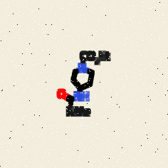 CCOC(=O)N1CCC(NC(=O)NC)CC1